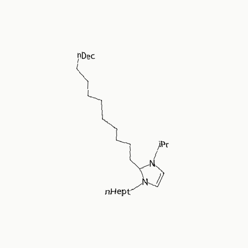 CCCCCCCCCCCCCCCCCCCC1N(CCCCCCC)C=CN1C(C)C